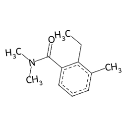 CCc1c(C)cccc1C(=O)N(C)C